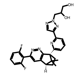 CC1(C)[C@H]2CC[C@]1(c1cccc(-c3cnn(CC(O)CO)n3)n1)c1nnc(-c3c(F)cccc3F)cc12